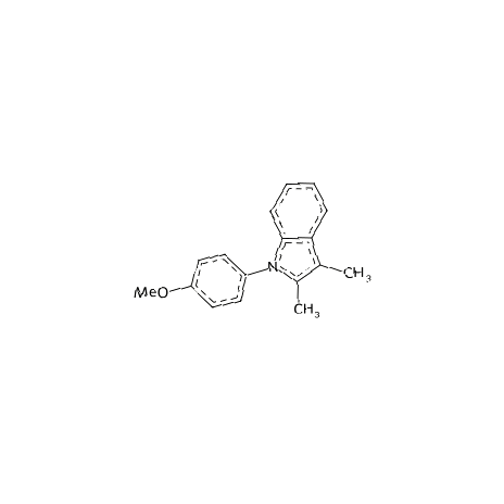 COc1ccc(-n2c(C)c(C)c3ccccc32)cc1